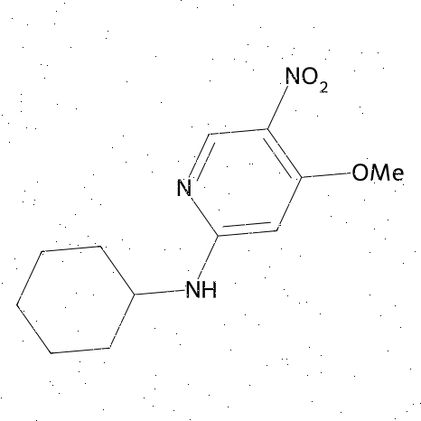 COc1cc(NC2CCCCC2)ncc1[N+](=O)[O-]